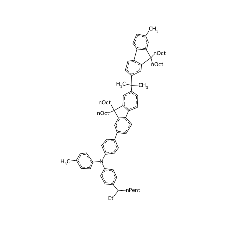 CCCCCCCCC1(CCCCCCCC)c2cc(C)ccc2-c2ccc(C(C)(C)c3ccc4c(c3)C(CCCCCCCC)(CCCCCCCC)c3cc(-c5ccc(N(c6ccc(C)cc6)c6ccc(C(CC)CCCCC)cc6)cc5)ccc3-4)cc21